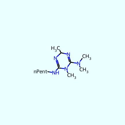 CCCCCNC1=NC(C)N=C(N(C)C)N1C